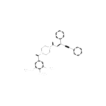 COc1cc(C(=O)N2CCN(C(=O)/C=C(/C#Cc3ccccc3)c3ccccc3)CC2)cc(OC)c1OC